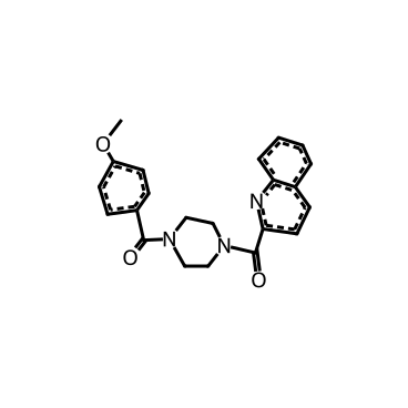 COc1ccc(C(=O)N2CCN(C(=O)c3ccc4ccccc4n3)CC2)cc1